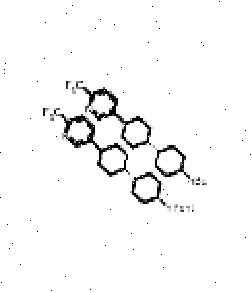 CCCCC[C@H]1CC[C@H](C2CCC(c3ccc(C(F)(F)F)nc3)CC2)CC1.CCCC[C@H]1CC[C@H](C2CCC(c3ccc(C(F)(F)F)nc3)CC2)CC1